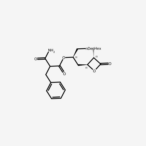 CCCCCCCCCCC[C@@H](C[C@@H]1OC(=O)[C@H]1CCCCCC)OC(=O)C(Cc1ccccc1)C(N)=O